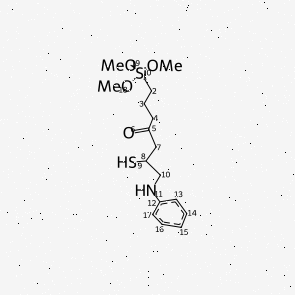 CO[Si](CCCC(=O)CC(S)CNc1ccccc1)(OC)OC